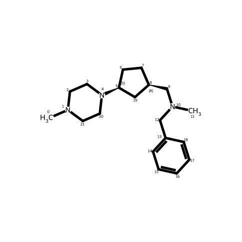 CN1CCN([C@H]2CC[C@@H](CN(C)Cc3ccccc3)C2)CC1